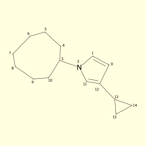 c1cn(C2CCCCCCC2)cc1C1CC1